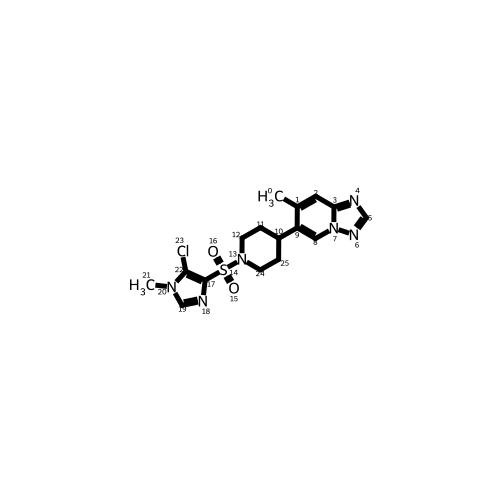 Cc1cc2ncnn2cc1C1CCN(S(=O)(=O)c2ncn(C)c2Cl)CC1